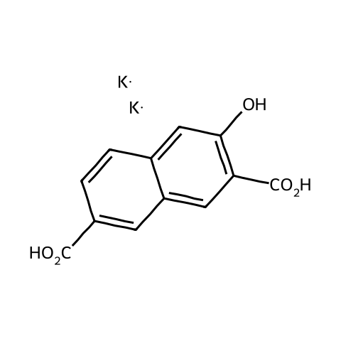 O=C(O)c1ccc2cc(O)c(C(=O)O)cc2c1.[K].[K]